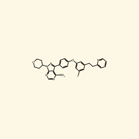 Nc1ncnc2c1c(-c1ccc(Oc3cc(F)cc(CCc4ccccn4)c3)cc1)nn2C1CCOCC1